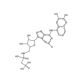 O=P(O)(O)CP(=O)(O)NCC1OC(n2cnc3c(Nc4cccc5cc(O)c(O)cc45)nc(Cl)nc32)C(O)C1O